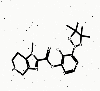 Cn1c(C(=O)Oc2cccc(B3OC(C)(C)C(C)(C)O3)c2Cl)nc2c1CCNC2